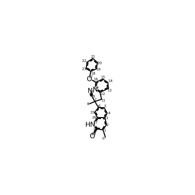 Cc1cc2ccc(C(C)(C#N)Cc3cccc(Oc4ccccc4)n3)cc2[nH]c1=O